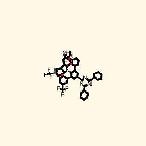 Cc1ccc2c(c1)c1cc(C(F)(F)F)ccc1n2-c1c(-c2cccc(C(F)(F)F)c2)cc(-c2nc(-c3ccccc3)nc(-c3ccccc3)n2)cc1-c1cccc(C(F)(F)F)c1